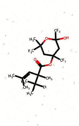 CCC(C)(C)C(C)(C=C(C)C)C(=O)OC1(C(F)(F)F)CC(C)(C(F)(F)F)OC(O)(C(F)(F)F)C1